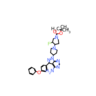 CC(C)(C)OC(=O)N1CCC(N2CCC(n3nc(-c4ccc(Oc5ccccc5)cc4)c4c(N)ncnc43)CC2)C(F)C1